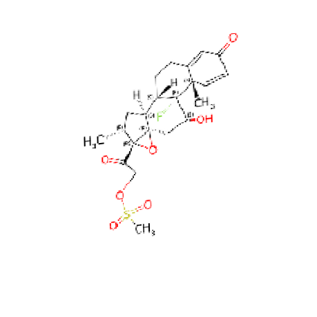 C[C@@H]1C[C@H]2[C@@H]3CCC4=CC(=O)C=C[C@]4(C)[C@@]3(F)[C@@H](O)C[C@@]23O[C@]13C(=O)COS(C)(=O)=O